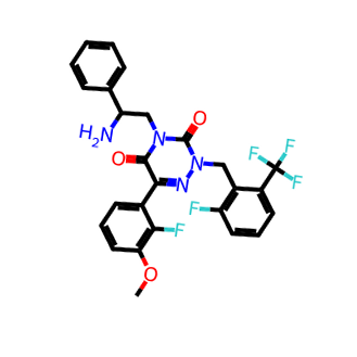 COc1cccc(-c2nn(Cc3c(F)cccc3C(F)(F)F)c(=O)n(CC(N)c3ccccc3)c2=O)c1F